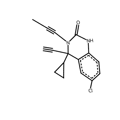 C#CC1(C2CC2)c2cc(Cl)ccc2NC(=O)N1C#CC